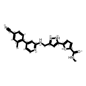 CNC(=O)c1ccc(-c2cc(CNc3cc(-c4ccc(C#N)cc4C)ccn3)n[nH]2)o1